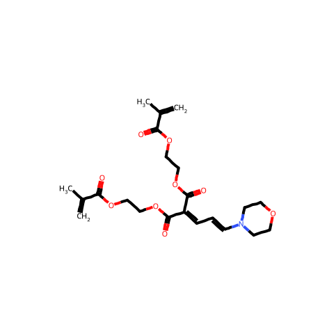 C=C(C)C(=O)OCCOC(=O)C(=C/C=C/N1CCOCC1)C(=O)OCCOC(=O)C(=C)C